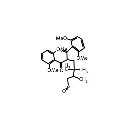 COc1cccc(OC)c1C(=O)C(CC(C)(C)C(C)CP=O)C(=O)c1c(OC)cccc1OC